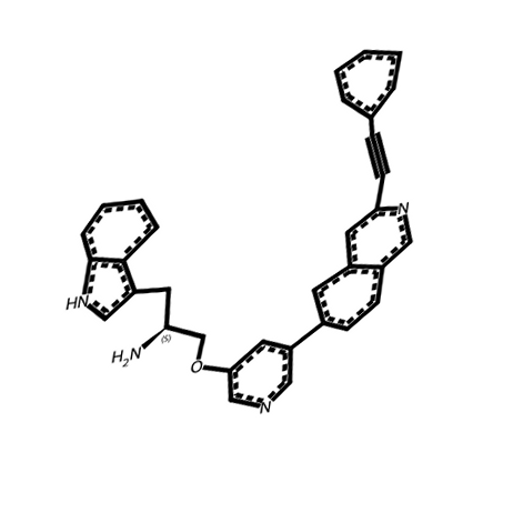 N[C@H](COc1cncc(-c2ccc3cnc(C#Cc4ccccc4)cc3c2)c1)Cc1c[nH]c2ccccc12